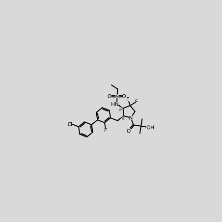 CCS(=O)(=O)N[C@@H]1[C@H](Cc2cccc(-c3cccc(Cl)c3)c2F)N(C(=O)C(C)(C)O)CC1(F)F